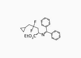 CCOC(=O)[C@@H](CC(F)(F)CC1CC1)N=C(c1ccccc1)c1ccccc1